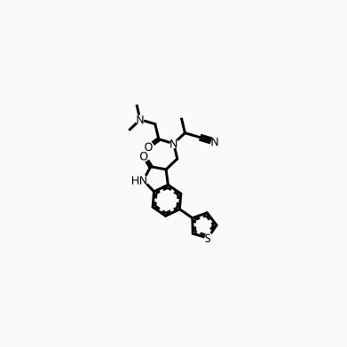 CC(C#N)N(CC1C(=O)Nc2ccc(-c3ccsc3)cc21)C(=O)CN(C)C